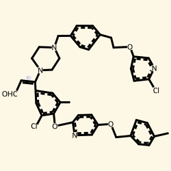 Cc1ccc(COc2ccc(Oc3c(C)cc(/C(=C\C=O)N4CCN(Cc5ccc(CCOc6ccc(Cl)nc6)cc5)CC4)cc3Cl)nc2)cc1